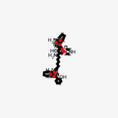 Nc1nnc(-c2ccccc2O)cc1N1CC2CCC(C1)N2c1ccnc(C#CCCCCCC(N)c2cccc(-c3cc(N4CC5CCC(C4)N5c4ccnc(C#CCN5CCNCC5=O)c4)c(N)nn3)c2O)c1